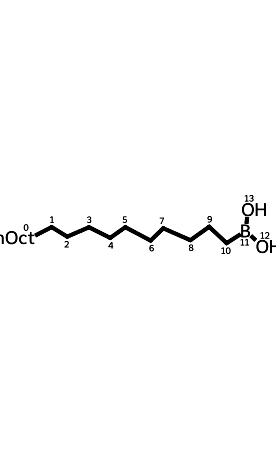 CCCCCCCCCCCCCCCCCCB(O)O